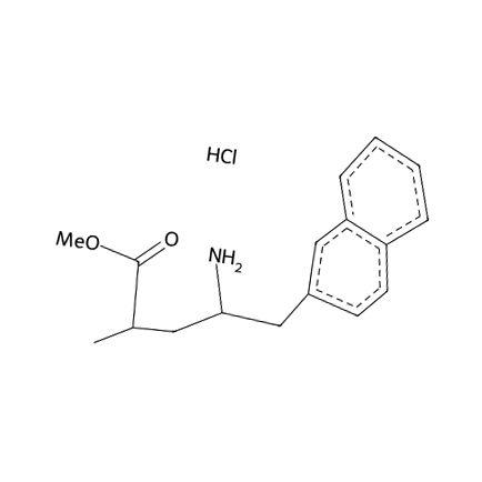 COC(=O)C(C)CC(N)Cc1ccc2ccccc2c1.Cl